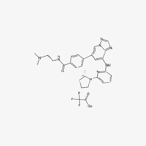 C[C@H]1CCCN1c1cccc(Nc2cc(-c3ccc(C(=O)NCCN(C)C)cc3)cn3ncnc23)n1.O=C(O)C(F)(F)F